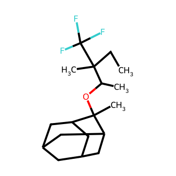 CCC(C)(C(C)OC1(C)C2CC3CC(C2)CC1C3)C(F)(F)F